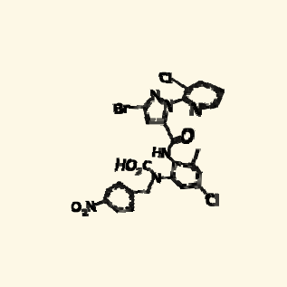 Cc1cc(Cl)cc(N(Cc2ccc([N+](=O)[O-])cc2)C(=O)O)c1NC(=O)c1cc(Br)nn1-c1ncccc1Cl